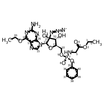 CCOC(=O)CNP(=O)(OC[C@H]1O[C@@H](n2cnc3c(OCC)nc(N)nc32)[C@](C)(N=[N+]=[N-])[C@@H]1O)Oc1ccccc1